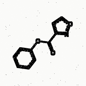 O=C(Oc1ccccc1)c1ccon1